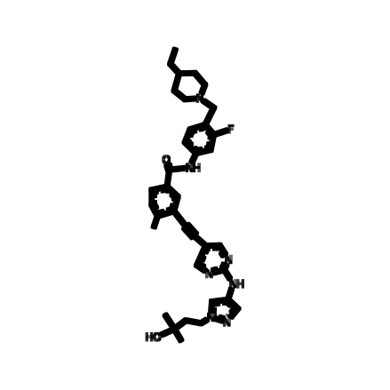 CCC1CCN(Cc2ccc(NC(=O)c3ccc(C)c(C#Cc4cnc(Nc5cnn(CCC(C)(C)O)c5)nc4)c3)cc2F)CC1